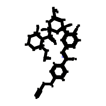 C#CCOc1cnc(/C(F)=C/c2cnc(F)c([C@]3(C)C[C@](C)(C(=O)N4[C@@H](COC)COC[C@H]4C)SC(N)=N3)c2)cn1